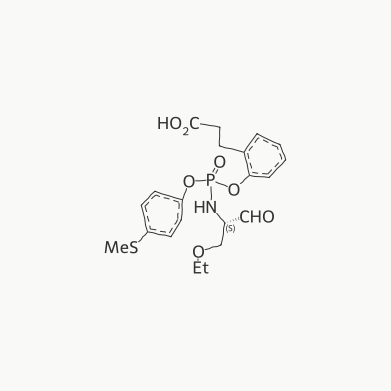 CCOC[C@@H](C=O)NP(=O)(Oc1ccc(SC)cc1)Oc1ccccc1CCC(=O)O